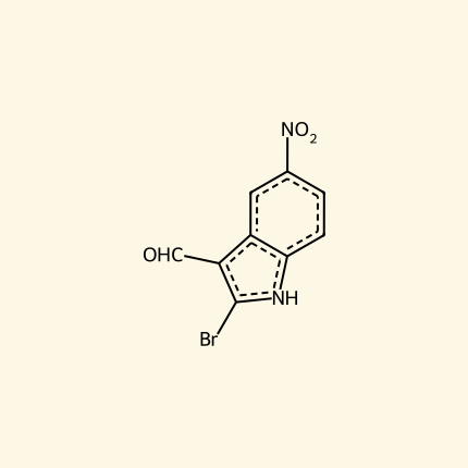 O=Cc1c(Br)[nH]c2ccc([N+](=O)[O-])cc12